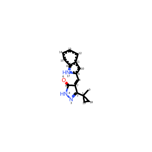 CC1(C2=NNC(=O)C2=Cc2cc3ccccc3[nH]2)CC1